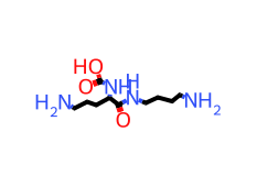 NCCCCNC(=O)C(CCCN)NC(=O)O